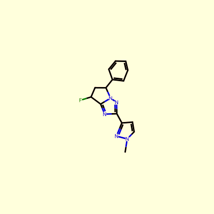 Cn1ccc(-c2nc3n(n2)C(c2ccccc2)CC3F)n1